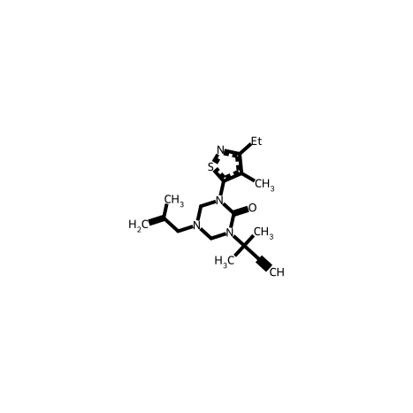 C#CC(C)(C)N1CN(CC(=C)C)CN(c2snc(CC)c2C)C1=O